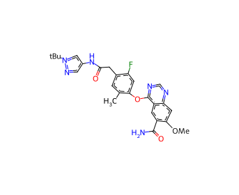 COc1cc2ncnc(Oc3cc(F)c(CC(=O)Nc4cnn(C(C)(C)C)c4)cc3C)c2cc1C(N)=O